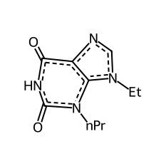 CCCn1c(=O)[nH]c(=O)c2ncn(CC)c21